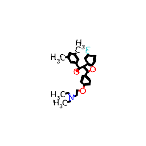 CCN(CC)CCOc1ccc(-c2oc3ccc(F)cc3c2C(=O)c2cc(C)cc(C)c2)cc1